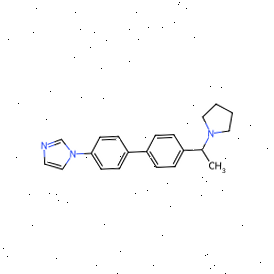 CC(c1ccc(-c2ccc(-n3ccnc3)cc2)cc1)N1CCCC1